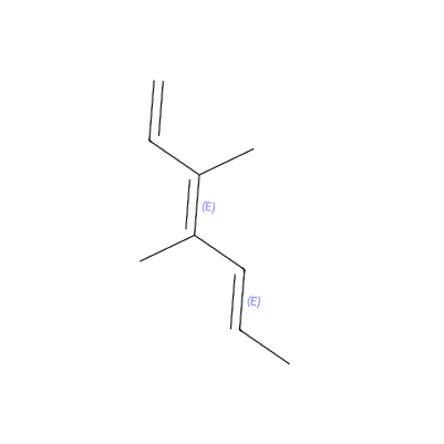 C=C/C(C)=C(C)/C=C/C